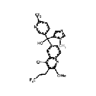 COc1nc2ccc(C(O)(c3ccc(C(F)(F)F)nc3)c3cncn3C)cc2c(Cl)c1CCC(F)(F)F